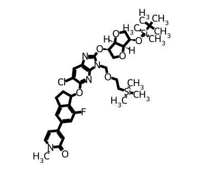 Cn1ccc(-c2cc(F)c3c(c2)CCC3Oc2nc3c(cc2Cl)nc(O[C@@H]2CO[C@H]4[C@@H]2OC[C@H]4O[Si](C)(C)C(C)(C)C)n3COCC[Si](C)(C)C)cc1=O